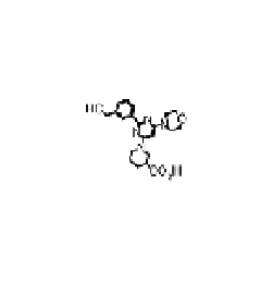 O=C(O)C1CCCN(c2cc(N3CCOCC3)nc(-c3cccc(CO)c3)n2)C1